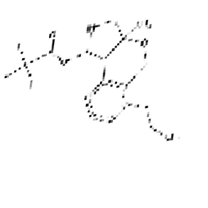 CCCc1cccc2c1COC1(C)CNC(OC(=O)C(F)(F)F)C21